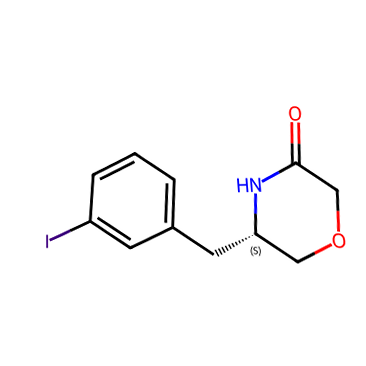 O=C1COC[C@H](Cc2cccc(I)c2)N1